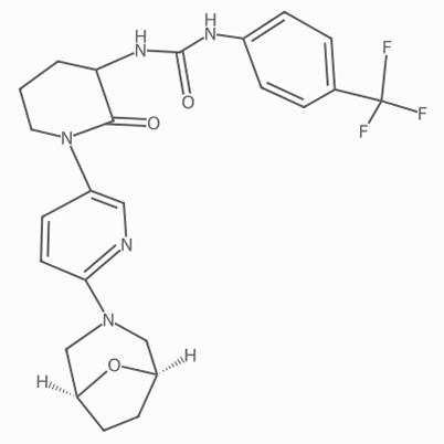 O=C(Nc1ccc(C(F)(F)F)cc1)NC1CCCN(c2ccc(N3C[C@H]4CC[C@@H](C3)O4)nc2)C1=O